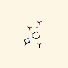 CC(=O)OC[C@H]1O[C@@H](Cl)[C@H](OC(C)=O)[C@@H](n2cc(I)cn2)[C@H]1OC(C)=O